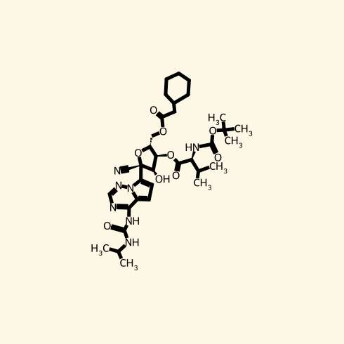 CC(C)NC(=O)Nc1ncnn2c([C@]3(C#N)O[C@H](COC(=O)CC4CCCCC4)[C@@H](OC(=O)[C@@H](NC(=O)OC(C)(C)C)C(C)C)[C@H]3O)ccc12